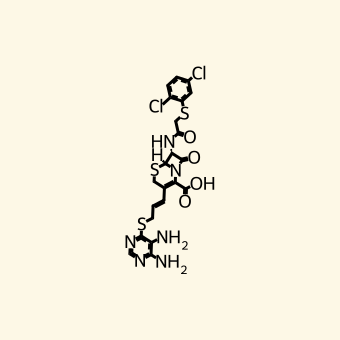 Nc1ncnc(SCC=CC2=C(C(=O)O)N3C(=O)[C@@H](NC(=O)CSc4cc(Cl)ccc4Cl)[C@H]3SC2)c1N